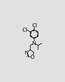 CC(C)N(CC1CO[C]=N1)c1ccc(Cl)c(Cl)c1